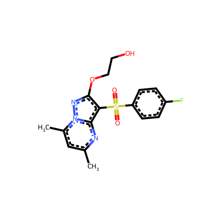 Cc1cc(C)n2nc(OCCO)c(S(=O)(=O)c3ccc(F)cc3)c2n1